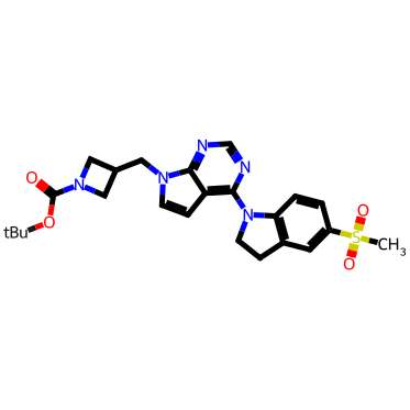 CC(C)(C)OC(=O)N1CC(Cn2ccc3c(N4CCc5cc(S(C)(=O)=O)ccc54)ncnc32)C1